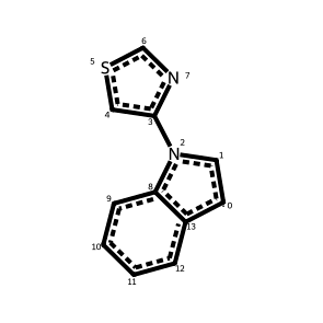 [c]1cn(-c2cscn2)c2ccccc12